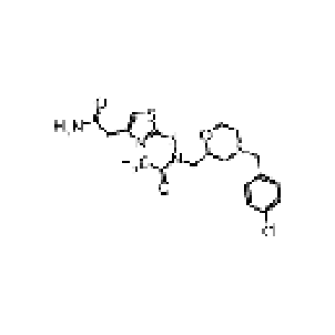 CC(=O)N(C[C@@H]1CN(Cc2ccc(Cl)cc2)CCO1)Sc1nc(CC(N)=O)cs1